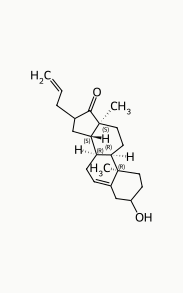 C=CCC1C[C@H]2[C@@H]3CC=C4CC(O)CC[C@]4(C)[C@@H]3CC[C@]2(C)C1=O